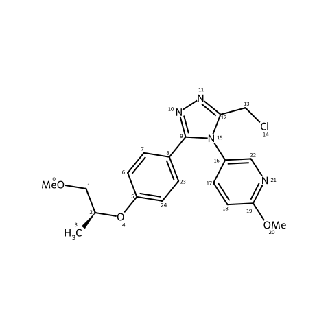 COC[C@H](C)Oc1ccc(-c2nnc(CCl)n2-c2ccc(OC)nc2)cc1